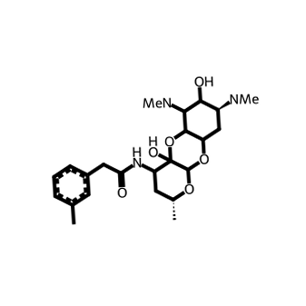 CNC1C2OC3(O)C(NC(=O)Cc4cccc(C)c4)C[C@@H](C)OC3OC2C[C@H](NC)C1O